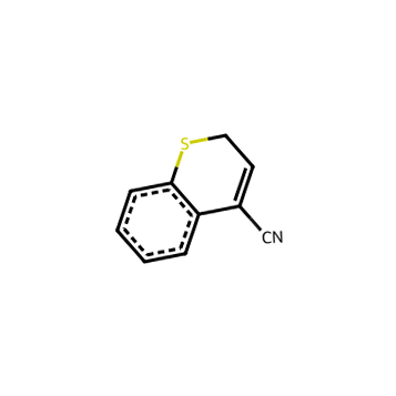 N#CC1=CCSc2ccccc21